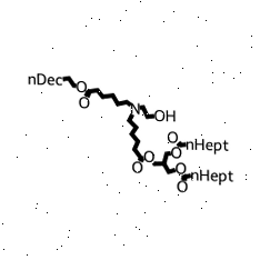 CCCCCCCCCCCCOC(=O)CCCCCN(CCO)CCCCCC(=O)OCC(COC(=O)CCCCCCC)COC(=O)CCCCCCC